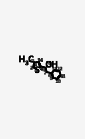 Cc1csc(C(O)Cc2ccccc2)c1